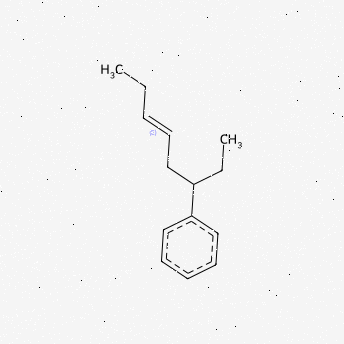 CC/C=C/CC(CC)c1ccccc1